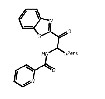 CCCCCC(NC(=O)c1ccccn1)C(=O)c1nc2ccccc2s1